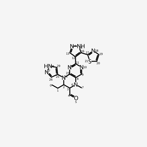 CCC1C(C=O)N(C)c2cnc(-c3cn[nH]c3-c3nccs3)nc2N1c1cn[nH]c1